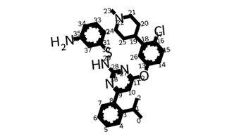 CC(C)c1ccccc1-c1cc(Oc2ccc(Cl)c(C3CCN(C)CC3)c2)nc(NSc2cccc(N)c2)n1